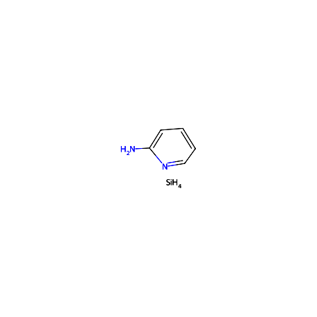 Nc1ccccn1.[SiH4]